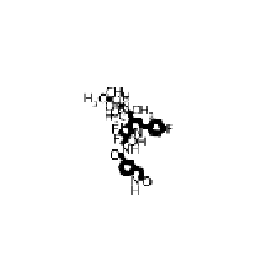 CC(C)(C)OC(=O)NC(C)(C)c1cc(-c2ccc(F)cc2)nc(C(O)(CNC(=O)c2ccc3c(c2)CC(=O)N3)C(F)(F)F)c1